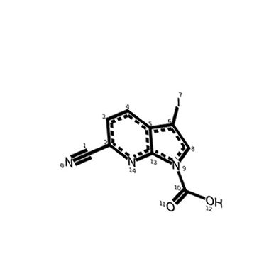 N#Cc1ccc2c(I)cn(C(=O)O)c2n1